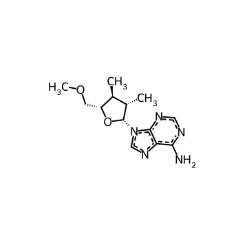 COC[C@H]1O[C@@H](n2cnc3c(N)ncnc32)[C@@H](C)[C@@H]1C